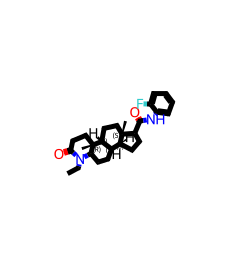 CCN1C(=O)CC[C@@]2(C)C1CC[C@@H]1[C@H]2CC[C@]2(C)C(C(=O)Nc3ccccc3F)CC[C@@H]12